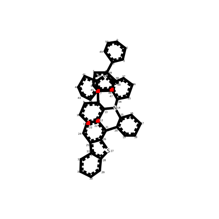 c1ccc(-c2ccc(-c3ccccc3N(c3ccccc3-c3cccc4c3sc3ccccc34)c3cccc4oc5ccccc5c34)cc2)cc1